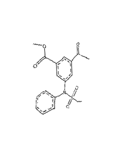 COC(=O)c1cc(C(C)=O)cc(N(c2ccccc2)S(C)(=O)=O)c1